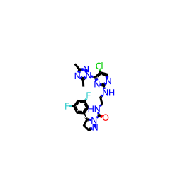 Cc1nc(C)n(-c2nc(NCCNC(=O)N3N=CC[C@H]3c3cc(F)cc(F)c3)ncc2Cl)n1